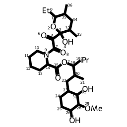 CCC1OC(O)(C(=O)C(=O)N2CCCCC2C(=O)OC(C(C)C)C(C)CC2CCC(O)C(OC)C2O)C(C)CC1C